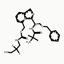 CC(C)(N)C(=O)N[C@H](COCc1ccccc1)c1ncc2cccc(COC(=O)NCC(F)(F)CO)n12